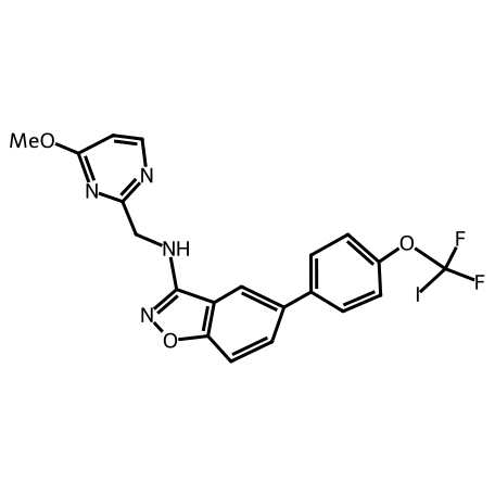 COc1ccnc(CNc2noc3ccc(-c4ccc(OC(F)(F)I)cc4)cc23)n1